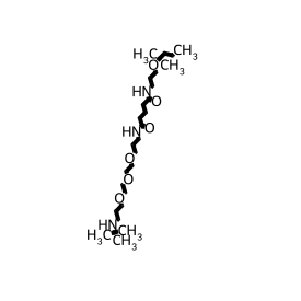 CCCC(C)(C)OCCCNC(=O)CCCC(=O)NCCCOCCOCCOCCCNC(C)(C)C